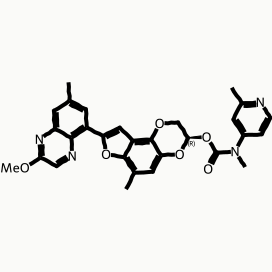 COc1cnc2c(-c3cc4c5c(cc(C)c4o3)O[C@H](OC(=O)N(C)c3ccnc(C)c3)CO5)cc(C)cc2n1